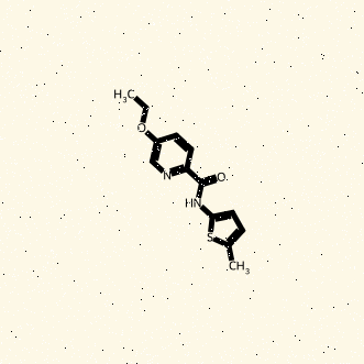 CCOc1ccc(C(=O)Nc2ccc(C)s2)nc1